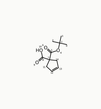 CC(C)(C)OC(=O)C1(C(=O)O)CC=CC1